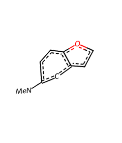 CNc1ccc2occc2c1